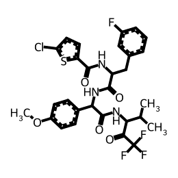 COc1ccc(C(NC(=O)C(Cc2cccc(F)c2)NC(=O)c2ccc(Cl)s2)C(=O)NC(C(=O)C(F)(F)F)C(C)C)cc1